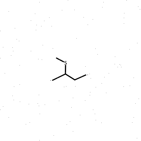 [CH2]CC([CH2])SC